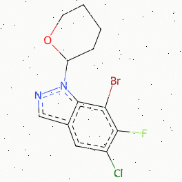 Fc1c(Cl)cc2cnn(C3CCCCO3)c2c1Br